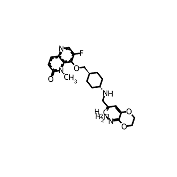 C=C(/C=C1/OCCO/C1=N/N)CN[C@H]1CC[C@H](COc2c(F)cnc3ccc(=O)n(C)c23)CC1